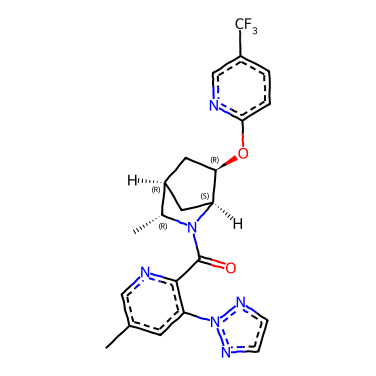 Cc1cnc(C(=O)N2[C@H](C)[C@H]3C[C@@H](Oc4ccc(C(F)(F)F)cn4)[C@@H]2C3)c(-n2nccn2)c1